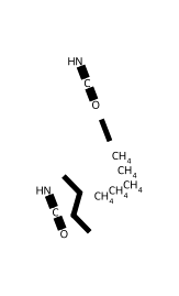 C.C.C.C.C.CC.CCCC.N=C=O.N=C=O